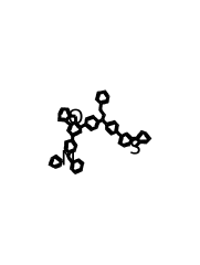 c1ccc(CCC(c2ccc(-c3ccc4sc5ccccc5c4c3)cc2)c2ccc(-c3cc(-c4ccc(N(c5ccccc5)c5ccccc5)cc4)cc4c3oc3ccccc34)cc2)cc1